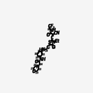 CCn1c(=C=C(C#N)C(=O)NCC(F)(F)F)sc(=C=CNc2cccc(NC(=O)CN3CCOCC3)c2)c1=O